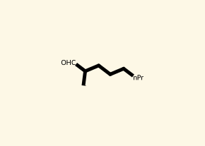 [CH2]C(C=O)CCCCCC